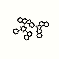 c1ccc(-c2nc(-c3cccc4ccccc34)nc(-c3c4ccccc4cc4sc5cc(-n6c7cc8ccccc8cc7c7c8ccccc8ccc76)ccc5c34)n2)cc1